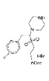 Br.CCCCCCCCCCCCS(=O)(=O)C(Cc1ccc(F)cc1)N1CCNCC1